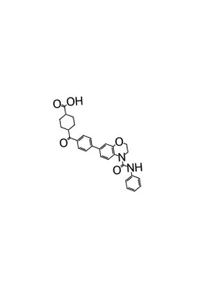 O=C(O)C1CCC(C(=O)c2ccc(-c3ccc4c(c3)OCCN4C(=O)Nc3ccccc3)cc2)CC1